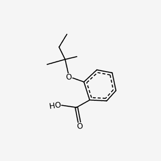 CCC(C)(C)Oc1ccccc1C(=O)O